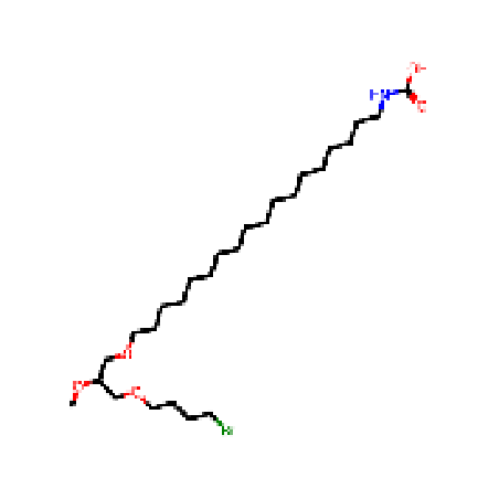 COC(COCCCCBr)COCCCCCCCCCCCCCCCCCCNC(=O)O